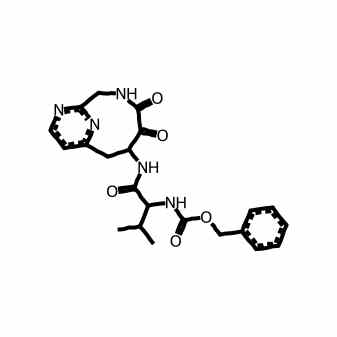 CC(C)C(NC(=O)OCc1ccccc1)C(=O)NC1Cc2ccnc(n2)CNC(=O)C1=O